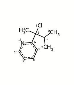 CC(C)C(C)(Cl)c1ccccn1